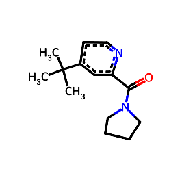 CC(C)(C)c1ccnc(C(=O)N2CCCC2)c1